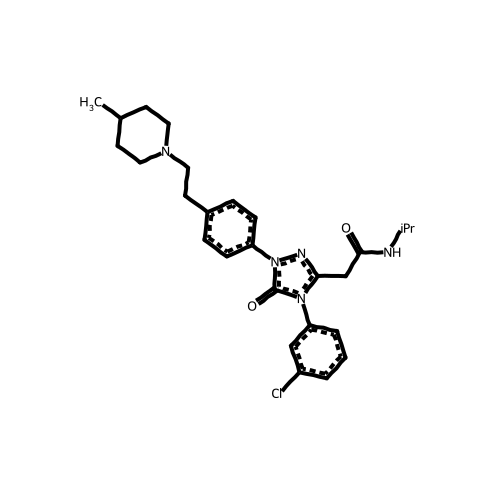 CC1CCN(CCc2ccc(-n3nc(CC(=O)NC(C)C)n(-c4cccc(Cl)c4)c3=O)cc2)CC1